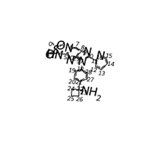 CS(=O)(=O)Nc1ncc2nc(-c3ccccn3)n(-c3ccc(C4(N)CCC4)cc3)c2n1